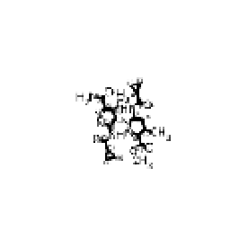 COC(=O)c1nnc(NC(=O)C2CC2)cc1C.Cc1cc(NC(=O)C2CC2)nnc1C(N)=O